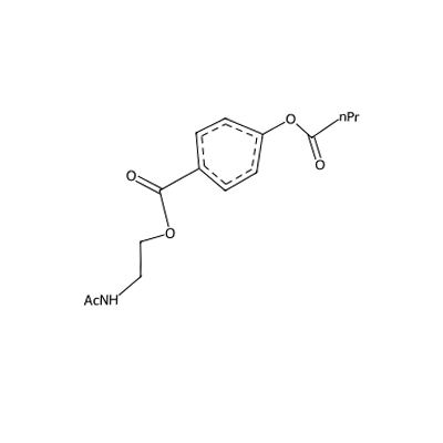 CCCC(=O)Oc1ccc(C(=O)OCCNC(C)=O)cc1